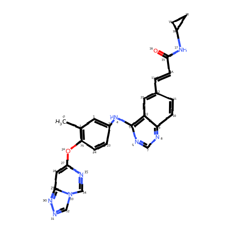 Cc1cc(Nc2ncnc3ccc(C=CC(=O)NC4CC4)cc23)ccc1Oc1cc2nncn2cn1